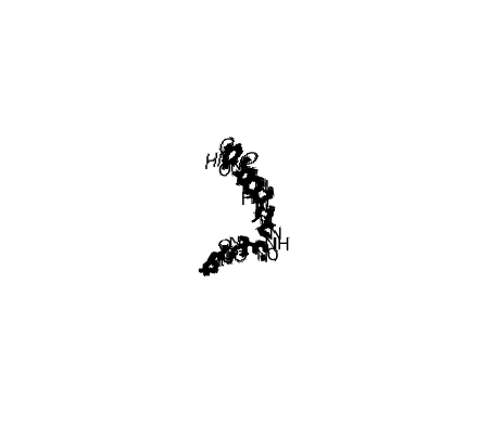 C[C@H]1CN([C@@H]2CCN3Cc4cc5c(cc4C[C@H]3C2)CN(C2CCC(=O)NC2=O)C5=O)CCN1c1ccc(Nc2cc(-c3ccnc(N4CCn5c(cc6c5CC(C)(C)C6)C4=O)c3CO)cn(C)c2=O)nc1